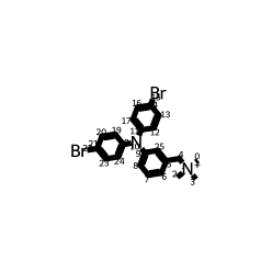 C[N+](C)(C)Cc1cccc(N(c2ccc(Br)cc2)c2ccc(Br)cc2)c1